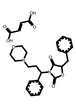 O=C(O)C=CC(=O)O.O=C1OC(Cc2ccccc2)C(=O)N1C(CCN1CCOCC1)c1ccccc1